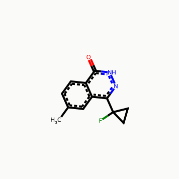 Cc1ccc2c(=O)[nH]nc(C3(F)CC3)c2c1